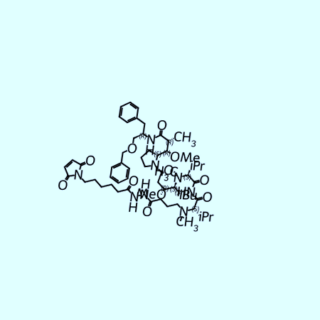 CC[C@H](C)[C@@H]([C@@H](CC(=O)N1CCC[C@H]1[C@H](OC)[C@@H](C)C(=O)N[C@@H](COCc1ccccc1)Cc1ccccc1)OC)N(C)[C@H](C(=O)NC(=O)[C@H](C(C)C)N(C)CCCC(=O)NNC(=O)CCCCCN1C(=O)C=CC1=O)C(C)C